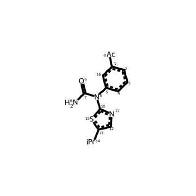 CC(=O)c1cccc(N(C(N)=O)c2ncc(C(C)C)s2)c1